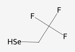 FC(F)(F)C[SeH]